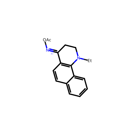 CCN1CC/C(=N\OC(C)=O)c2ccc3ccccc3c21